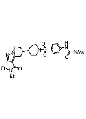 CCN(CC)C(=O)c1cnn2c1CC(C1CCN(S(=O)(=O)c3ccc(NC(=O)NC)cc3)CC1)CC2